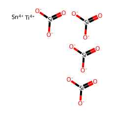 O=[Si]([O-])[O-].O=[Si]([O-])[O-].O=[Si]([O-])[O-].O=[Si]([O-])[O-].[Sn+4].[Ti+4]